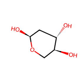 O[C@H]1C[C@H](O)[C@@H](O)CO1